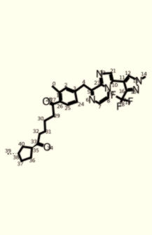 Cc1cc(Cc2nccn3c(-c4cn(C)nc4C(F)(F)F)cnc23)ccc1C(=O)CCCCC(=O)[C@H]1CC[C@H](C)C1